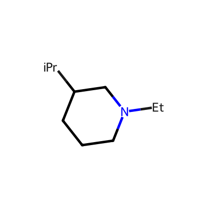 CCN1CCCC(C(C)C)C1